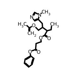 C=C(C)OCC(Cc1cncn1C)C(CC)C(=O)OCCC(=O)Oc1ccccc1